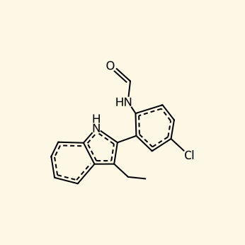 CCc1c(-c2cc(Cl)ccc2NC=O)[nH]c2ccccc12